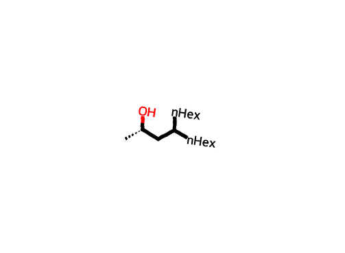 CCCCCCC(CCCCCC)C[C@H](C)O